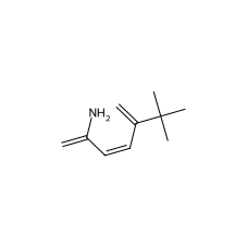 C=C(N)/C=C\C(=C)C(C)(C)C